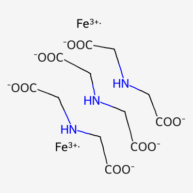 O=C([O-])CNCC(=O)[O-].O=C([O-])CNCC(=O)[O-].O=C([O-])CNCC(=O)[O-].[Fe+3].[Fe+3]